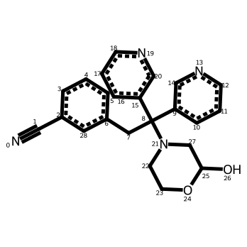 N#Cc1cccc(CC(c2cccnc2)(c2cccnc2)N2CCOC(O)C2)c1